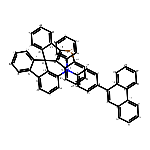 c1ccc(N(c2ccc(-c3cc4ccccc4c4ccccc34)cc2)c2cccc3c2C2(c4ccccc4-3)c3ccccc3-c3sc4ccccc4c32)cc1